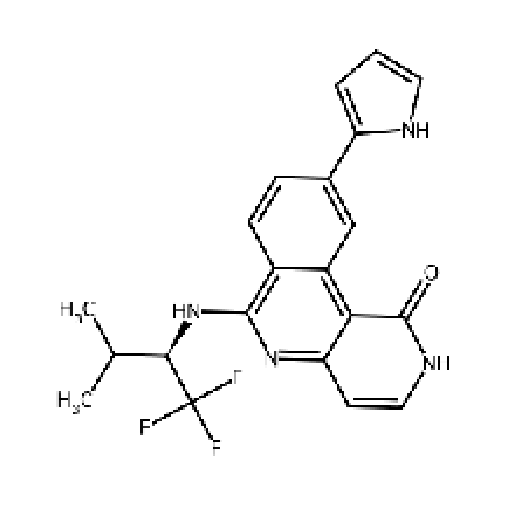 CC(C)[C@@H](Nc1nc2cc[nH]c(=O)c2c2cc(-c3ccc[nH]3)ccc12)C(F)(F)F